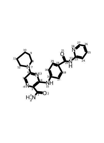 NC(=O)c1ncc(N2CCCCC2)nc1Nc1ccc(C(=O)Nc2ccccn2)cc1